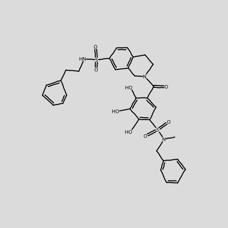 CN(Cc1ccccc1)S(=O)(=O)c1cc(C(=O)N2CCc3ccc(S(=O)(=O)NCCc4ccccc4)cc3C2)c(O)c(O)c1O